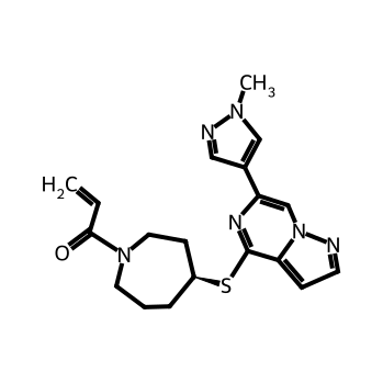 C=CC(=O)N1CCC[C@H](Sc2nc(-c3cnn(C)c3)cn3nccc23)CC1